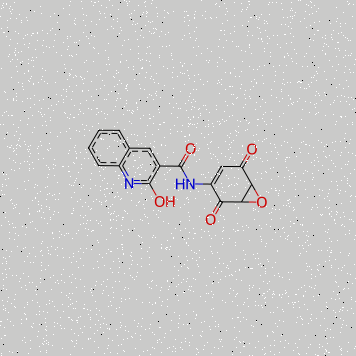 O=C(NC1=CC(=O)C2OC2C1=O)c1cc2ccccc2nc1O